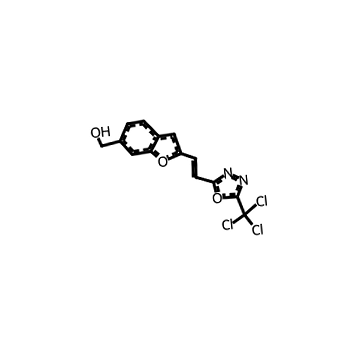 OCc1ccc2cc(C=Cc3nnc(C(Cl)(Cl)Cl)o3)oc2c1